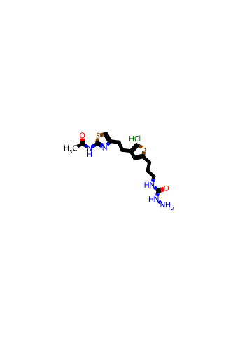 CC(=O)Nc1nc(CCc2csc(CCCNC(=O)NN)c2)cs1.Cl